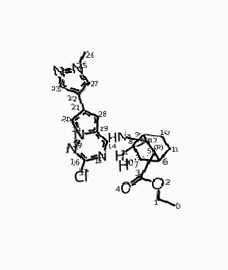 CCOC(=O)[C@@H]1C2CCC(CC2)[C@H]1Nc1nc(Cl)nn2cc(-c3cnn(C)c3)cc12